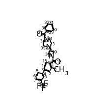 Cc1cc(-c2cccc(C(F)(F)F)c2)ccc1C(=O)N1CC(N2CCN(C(=O)c3ccccc3)CC2)C1